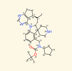 CC(C)[C@@H]1CCc2ncnc(N3CC4(CCNCC4)c4c(CN(C(=O)OC(C)(C)C)C5CCCC5)cccc43)c21